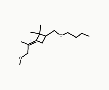 CCCCOCC1C/C(=C(/C)COC)C1(C)C